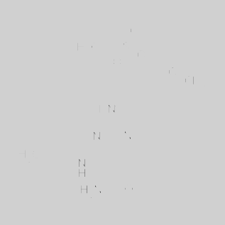 C=CCNc1nc(Nc2ccc(OC)c(OS(=O)(=O)CC)c2)ncc1C(N)=O